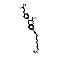 CCCCCCCCC#Cc1ccc(CN(C(C)=O)c2ccc(/C=C/C(=O)O)cc2)cc1